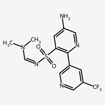 CN(C)/C=N\S(=O)(=O)c1cc(N)cnc1-c1cncc(C(F)(F)F)c1